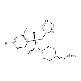 CCCCCC=C1CCN([C@@H](C)[C@@](O)(Cn2cncn2)c2ccc(F)cc2F)CC1